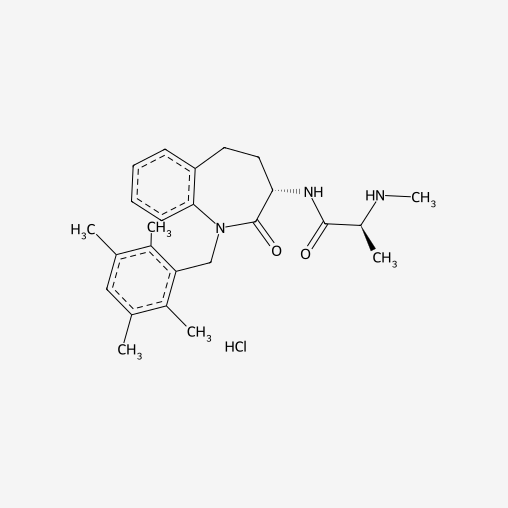 CN[C@@H](C)C(=O)N[C@H]1CCc2ccccc2N(Cc2c(C)c(C)cc(C)c2C)C1=O.Cl